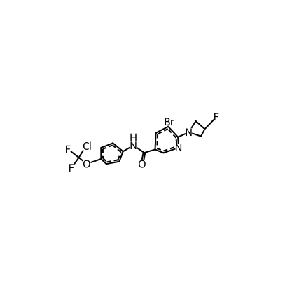 O=C(Nc1ccc(OC(F)(F)Cl)cc1)c1cnc(N2CC(F)C2)c(Br)c1